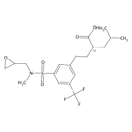 CC(C)C[C@H](CCc1cc(C(F)(F)F)cc(S(=O)(=O)N(C)CC2CO2)c1)C(=O)O